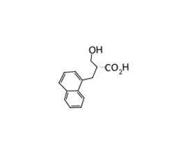 O=C(O)[C@@H](CO)Cc1cccc2ccccc12